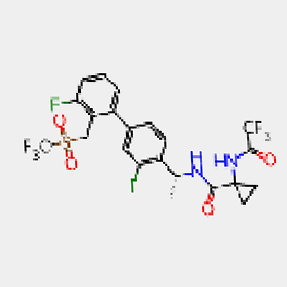 C[C@@H](NC(=O)C1(NC(=O)C(F)(F)F)CC1)c1ccc(-c2cccc(F)c2CS(=O)(=O)C(F)(F)F)cc1F